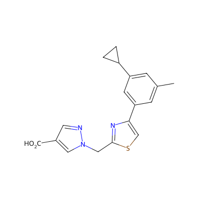 Cc1cc(-c2csc(Cn3cc(C(=O)O)cn3)n2)cc(C2CC2)c1